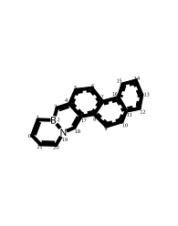 C1=CB2C=c3ccc4c(ccc5ccccc54)c3=CN2C=C1